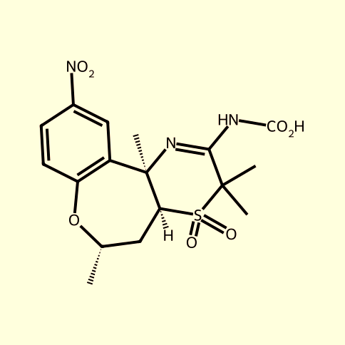 C[C@H]1C[C@H]2[C@](C)(N=C(NC(=O)O)C(C)(C)S2(=O)=O)c2cc([N+](=O)[O-])ccc2O1